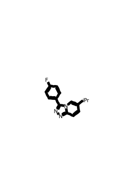 CC(C)c1ccc2nnc(-c3ccc(F)cc3)n2c1